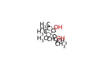 CC(C)Cc1cc(C2(c3ccc(O)c(CC(C)C)c3)CC(C)CC(C)(C)C2)ccc1O